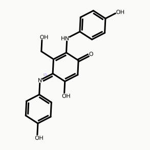 O=C1C=C(O)/C(=N\c2ccc(O)cc2)C(CO)=C1Nc1ccc(O)cc1